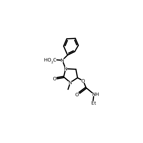 CCNC(=O)OC1CN(N(C(=O)O)c2ccccc2)C(=O)N1C